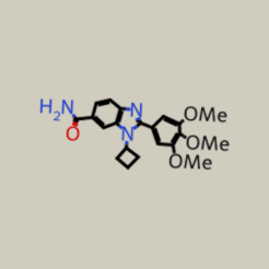 COc1cc(-c2nc3ccc(C(N)=O)cc3n2C2CCC2)cc(OC)c1OC